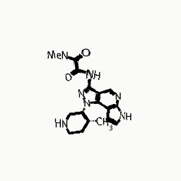 CNC(=O)C(=O)Nc1nn([C@H]2CNCC[C@H]2C)c2c1cnc1[nH]ccc12